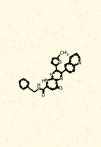 Cc1ccc(-c2nc3[nH]c(C(=O)NCc4ccccc4)cc(=O)c3nc2-c2ccc3ncccc3c2)s1